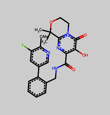 COc1ncc(-c2ccccc2CNC(=O)c2nc3n(c(=O)c2O)CCOC3(C)C)cc1F